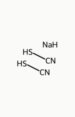 N#CS.N#CS.[NaH]